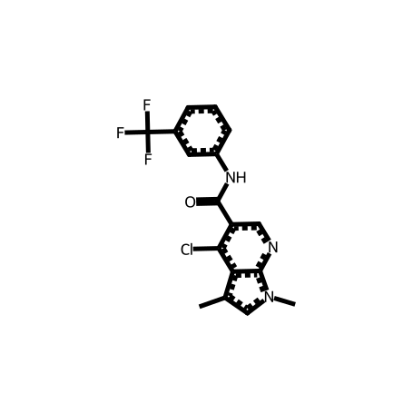 Cc1cn(C)c2ncc(C(=O)Nc3cccc(C(F)(F)F)c3)c(Cl)c12